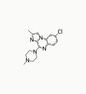 Cc1cn2c(n1)c(N1CCN(C)CC1)nc1ccc(Cl)cc12